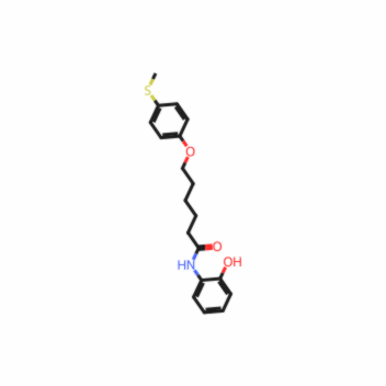 CSc1ccc(OCCCCCC(=O)Nc2ccccc2O)cc1